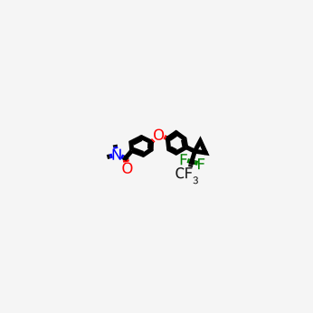 CN(C)C(=O)c1ccc(Oc2ccc(C3(C(F)(F)C(F)(F)F)CC3)cc2)cc1